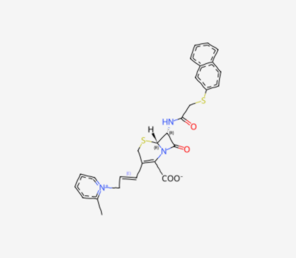 Cc1cccc[n+]1C/C=C/C1=C(C(=O)[O-])N2C(=O)[C@@H](NC(=O)CSc3ccc4ccccc4c3)[C@H]2SC1